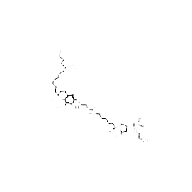 CC[C@@H]1C[C@@H](OP(OCCC#N)N(C(C)C)C(C)C)CN1C(=O)CCCCCNC(=O)OCCOc1c(C)c(C)c2c(c1C)CC[C@@](C)(CCC[C@H](C)CCC[C@H](C)CCCC(C)C)O2